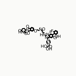 CN(CCOc1ccc2c(c1)C(=O)N(C1CCC(=O)NC1=O)C2=O)C(=O)CCNc1nc(N2CCN(C(=O)C(O)O)CC2)c2cc(Cl)c(-c3c(O)cccc3F)c(F)c2n1